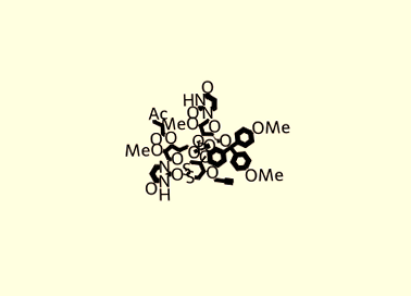 C#CCO[C@@H]1CSSC[C@H]1OP(=O)(OCC1OC(n2ccc(=O)[nH]c2=O)C(OC)C1OC(=O)CCC(C)=O)O[C@H]1[C@@H](OC)[C@H](n2ccc(=O)[nH]c2=O)O[C@@H]1COC(c1ccccc1)(c1ccc(OC)cc1)c1ccc(OC)cc1